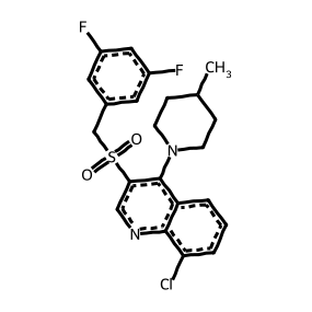 CC1CCN(c2c(S(=O)(=O)Cc3cc(F)cc(F)c3)cnc3c(Cl)cccc23)CC1